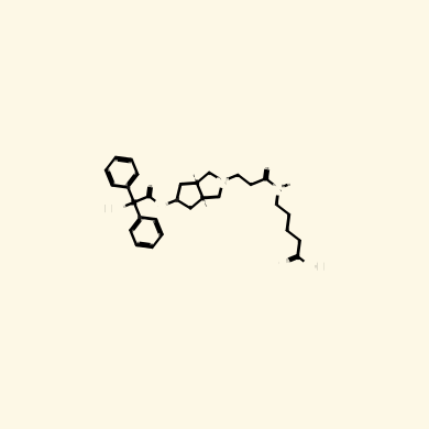 CN(CCCCC(=O)O)C(=O)CCN1C[C@H]2CC(OC(=O)C(O)(c3ccccc3)c3ccccc3)C[C@H]2C1